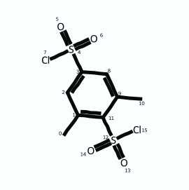 Cc1cc(S(=O)(=O)Cl)cc(C)c1S(=O)(=O)Cl